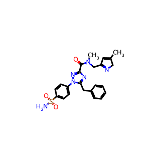 CC1=CC(CN(C)C(=O)c2nc(Cc3ccccc3)n(-c3ccc(S(N)(=O)=O)cc3)n2)=NC1